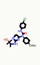 COc1ccc(N(C(=O)Nc2ccc(Cl)cc2)c2ccnc(NC(C)C(C)(C)O)n2)cc1